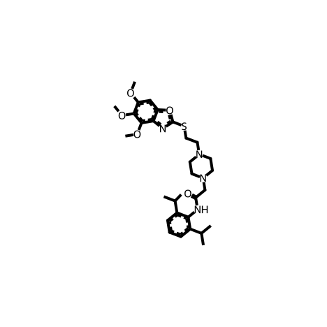 COc1cc2oc(SCCN3CCN(CC(=O)Nc4c(C(C)C)cccc4C(C)C)CC3)nc2c(OC)c1OC